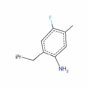 Cc1cc(N)c(CC(C)C)cc1F